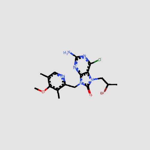 COc1c(C)cnc(Cn2c(=O)n(CC(C)Br)c3c(Cl)nc(N)nc32)c1C